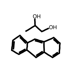 CC(O)CO.c1ccc2cc3ccccc3cc2c1